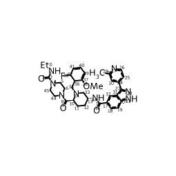 CCNC(=O)N1CCN(C(=O)[C@@H]2CC[C@@H](NC(=O)c3ccc4[nH]nc(-c5ccnc(C)c5)c4c3)CN2CC2C(OC)=CC=CC2F)CC1